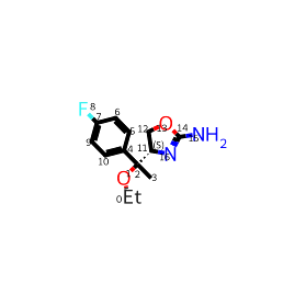 CCOC(C)(c1ccc(F)cc1)[C@@H]1COC(N)=N1